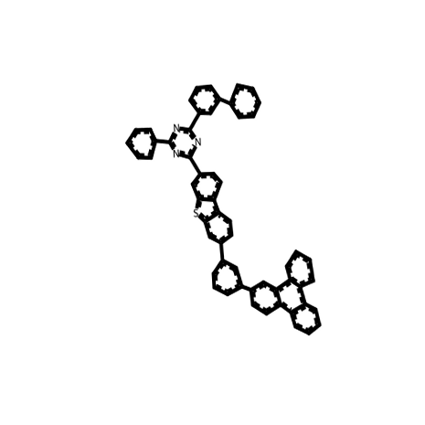 c1ccc(-c2cccc(-c3nc(-c4ccccc4)nc(-c4ccc5c(c4)sc4cc(-c6cccc(-c7ccc8c9ccccc9c9ccccc9c8c7)c6)ccc45)n3)c2)cc1